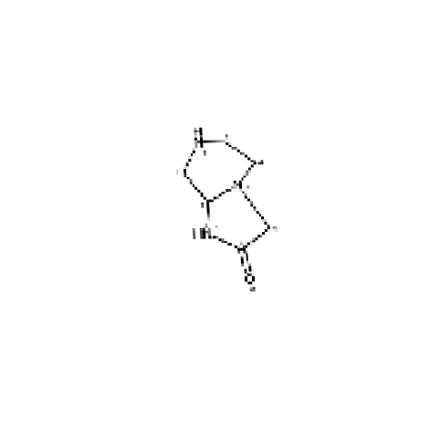 O=C1CN2CCNCC2N1